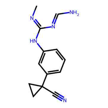 C/N=C(\N=C\N)Nc1cccc(C2(C#N)CC2)c1